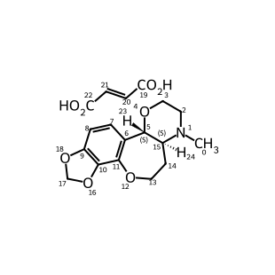 CN1CCO[C@H]2c3ccc4c(c3OCC[C@@H]21)OCO4.O=C(O)C=CC(=O)O